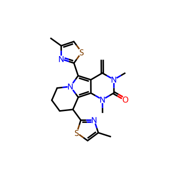 C=C1c2c(c3n(c2-c2nc(C)cs2)CCCC3c2nc(C)cs2)N(C)C(=O)N1C